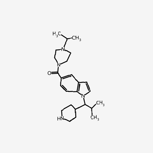 CC(C)C(C1CCNCC1)n1ccc2cc(C(=O)N3CCN(C(C)C)CC3)ccc21